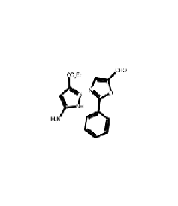 CCOC(=O)c1cc(N)[nH]n1.O=Cc1cnc(-c2ccccc2)o1